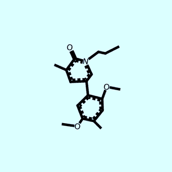 CCCn1cc(-c2cc(OC)c(C)cc2OC)cc(C)c1=O